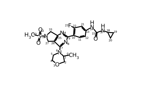 CC1COCCN1c1nc(-c2ccc(NC(=O)NC3CC3)cc2F)nc2c1CN(S(C)(=O)=O)C2